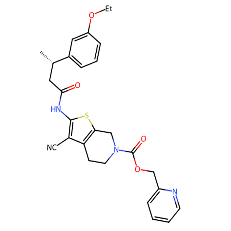 CCOc1cccc([C@@H](C)CC(=O)Nc2sc3c(c2C#N)CCN(C(=O)OCc2ccccn2)C3)c1